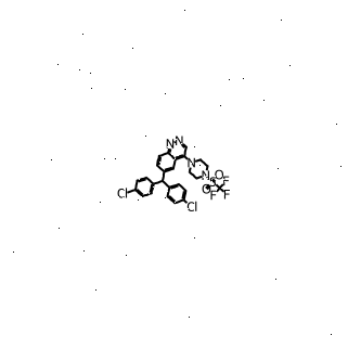 O=S(=O)(N1CCN(c2cnnc3ccc(C(c4ccc(Cl)cc4)c4ccc(Cl)cc4)cc23)CC1)C(F)(F)F